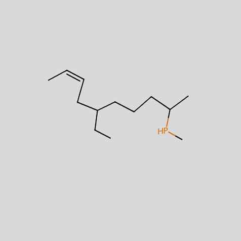 C/C=C\CC(CC)CCCC(C)PC